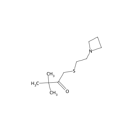 CC(C)(C)C(=O)CSCCN1CCC1